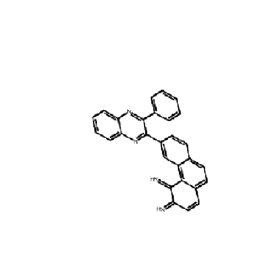 N=C1C=Cc2ccc3ccc(-c4nc5ccccc5nc4-c4ccccc4)cc3c2C1=N